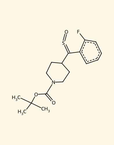 CC(C)(C)OC(=O)N1CCC(C(=S=O)c2ccccc2F)CC1